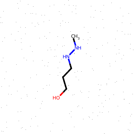 CNNCCCO